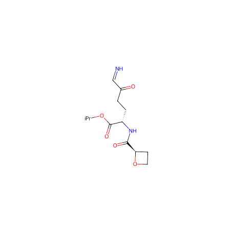 CC(C)OC(=O)[C@H](CCC(=O)C=N)NC(=O)[C@H]1CCO1